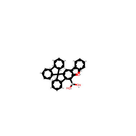 OB(O)c1c2c(cc3c1oc1ccccc13)C1(c3ccccc3-c3ccccc31)c1ccccc1-2